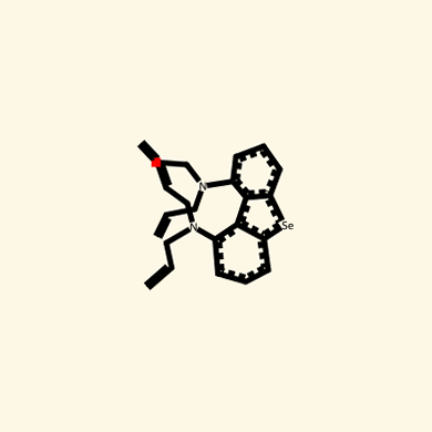 C=CCN(CC=C)c1cccc2[se]c3cccc(N(CC=C)CC=C)c3c12